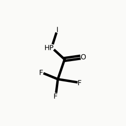 O=C(PI)C(F)(F)F